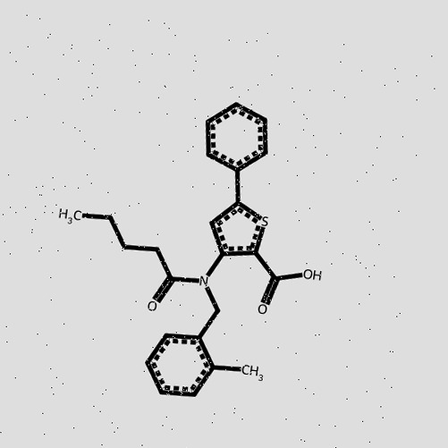 CCCCC(=O)N(Cc1ccccc1C)c1cc(-c2ccccc2)sc1C(=O)O